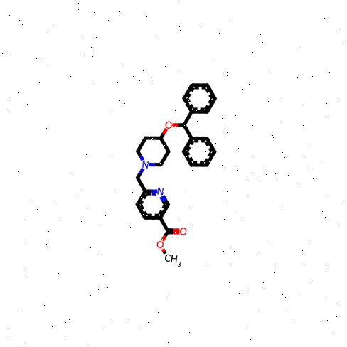 COC(=O)c1ccc(CN2CCC(OC(c3ccccc3)c3ccccc3)CC2)nc1